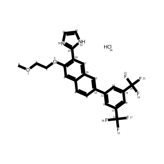 COCCOc1cc2ccc(-c3cc(C(F)(F)F)cc(C(F)(F)F)c3)cc2cc1-c1ncc[nH]1.Cl